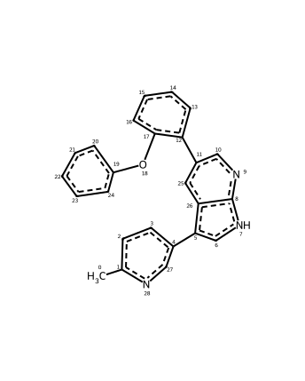 Cc1ccc(-c2c[nH]c3ncc(-c4ccccc4Oc4ccccc4)cc23)cn1